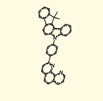 CC1(C)c2ccccc2-c2ccc3c(c21)c1ccccc1n3-c1ccc(-c2ccc3ccc4cccnc4c3n2)cc1